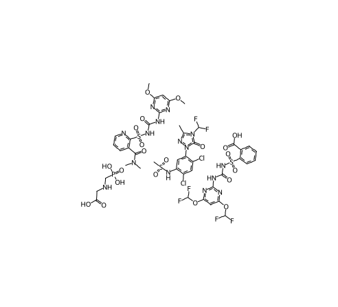 COc1cc(OC)nc(NC(=O)NS(=O)(=O)c2ncccc2C(=O)N(C)C)n1.Cc1nn(-c2cc(NS(C)(=O)=O)c(Cl)cc2Cl)c(=O)n1C(F)F.O=C(Nc1nc(OC(F)F)cc(OC(F)F)n1)NS(=O)(=O)c1ccccc1C(=O)O.O=C(O)CNCP(=O)(O)O